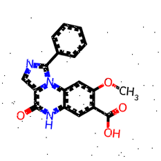 COc1cc2c(cc1C(=O)O)[nH]c(=O)c1cnc(-c3ccccc3)n12